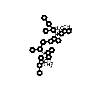 CC1(C)c2ccccc2-c2ccc(N(c3ccc(-c4ccc(-c5ccccc5)cc4)c(-c4ccccc4)c3)c3cc4cc(-c5cccc(-c6cc(-c7ccccc7)cc(N(c7ccc8c(c7)C(C)(C)c7cc(-c9ccccc9)ccc7-8)c7cc8ccccc8c8ccccc78)c6)c5)ccc4c4ccccc34)cc21